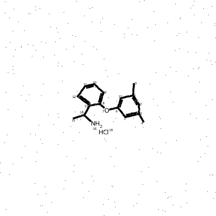 Cc1cc(C)cc(Oc2ccccc2C(C)N)c1.Cl